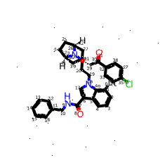 CCc1cccc2c(C(=O)NCc3ccccc3)cn(CCCN3[C@@H]4CC[C@H]3C[C@H](CC(=O)c3ccc(Cl)cc3)C4)c12